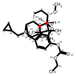 CO[C@@]12CC[C@]3(C[C@H]1[C@](C)(O)C(C)(C)C)C1Cc4ccc(OC(=O)OCCl)c5c4[C@]3(CCN1CC1CC1)[C@@H]2O5